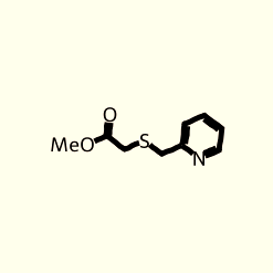 COC(=O)CSCc1ccccn1